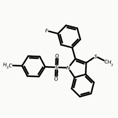 CSc1c(-c2cccc(F)c2)n(S(=O)(=O)c2ccc(C)cc2)c2ccccc12